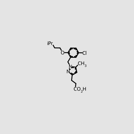 Cc1cc(CCC(=O)O)nn1Cc1cc(Cl)ccc1OCCC(C)C